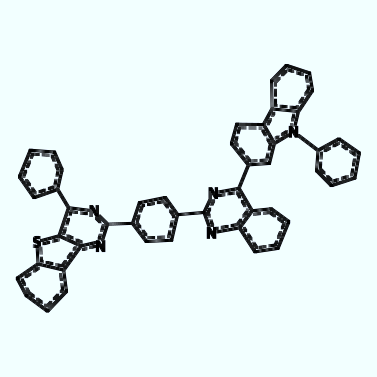 c1ccc(-c2nc(-c3ccc(-c4nc(-c5ccc6c7ccccc7n(-c7ccccc7)c6c5)c5ccccc5n4)cc3)nc3c2sc2ccccc23)cc1